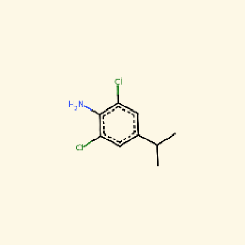 CC(C)c1cc(Cl)c(N)c(Cl)c1